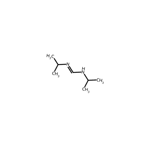 CC(C)N=CNC(C)C